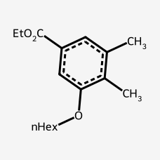 CCCCCCOc1cc(C(=O)OCC)cc(C)c1C